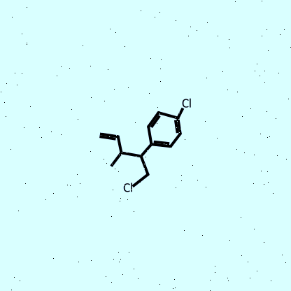 C=CC(C)C(CCl)c1ccc(Cl)cc1